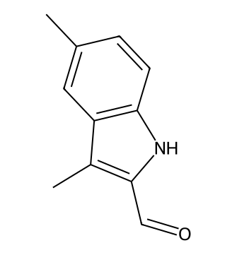 Cc1ccc2[nH]c(C=O)c(C)c2c1